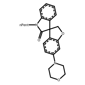 CCCCCN1C(=O)C2(COc3cc(N4CCOCC4)ccc32)c2ccccc21